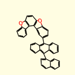 c1ccc2c(-c3c4ccccc4c(-c4ccc5oc6ccc7oc8ccccc8c7c6c5c4)c4ccccc34)cccc2c1